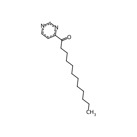 CCCCCCCCCCCC(=O)c1ccn[c]n1